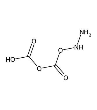 NNOC(=O)OC(=O)O